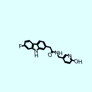 O=C(Cc1ccc2c(c1)[nH]c1cc(F)ccc12)NCc1ccc(O)nc1